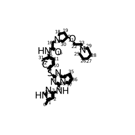 Cc1cc(Nc2nc(Sc3ccc(NC(=O)CN4CC[C@@H](OCCN5CCCCC5)C4)cc3)nc3cccn23)n[nH]1